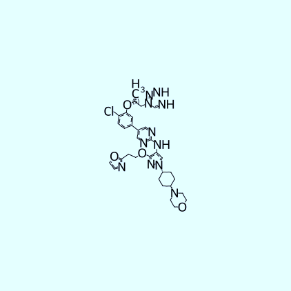 C[C@@H](CN(C=N)N=N)Oc1cc(-c2cnc(Nc3cn([C@H]4CC[C@H](N5CCOCC5)CC4)nc3OCCc3ncco3)nc2)ccc1Cl